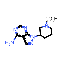 Nc1ncnc2c1cnn2C1CCCN(C(=O)O)C1